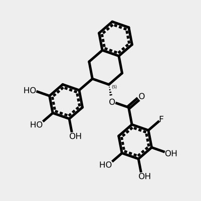 O=C(O[C@H]1Cc2ccccc2CC1c1cc(O)c(O)c(O)c1)c1cc(O)c(O)c(O)c1F